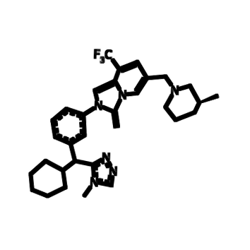 C=C1N2C=C(CN3CCC[C@H](C)C3)C=C(C(F)(F)F)C2=CN1c1cccc(C(c2nncn2C)C2CCCCC2)c1